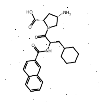 N[C@H]1C[C@@H](C(=O)O)N(C(=O)[C@@H](CC2CCCCC2)NC(=O)c2ccc3ccccc3c2)C1